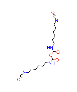 O=C=NCCCCCCNC(=O)OC(=O)NCCCCCCN=C=O